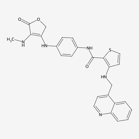 CNC1=C(Nc2ccc(NC(=O)c3sccc3NCc3ccnc4ccccc34)cc2)COC1=O